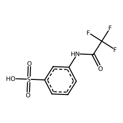 O=C(Nc1cccc(S(=O)(=O)O)c1)C(F)(F)F